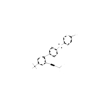 C[C@@H](O)C#Cc1cc(C(O)(C(F)(F)F)C(F)(F)F)cnc1-c1ccc(S(=O)(=O)c2ccc(N)nc2)cc1